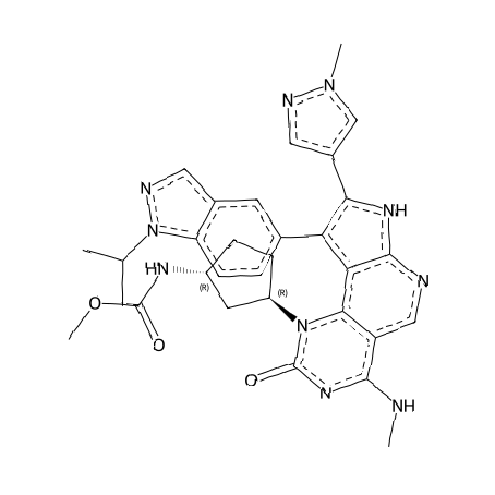 CNc1nc(=O)n([C@@H]2CC[C@@H](NC(=O)OC)C2)c2c1cnc1[nH]c(-c3cnn(C)c3)c(-c3ccc4c(cnn4C(C)C)c3)c12